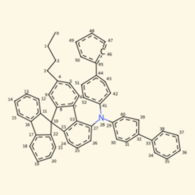 CCCCc1ccc2c(c1)C1(c3ccccc3-c3ccccc31)c1cccc(N(c3ccc(-c4ccccc4)cc3)c3ccc(-c4ccccc4)cc3)c1-2